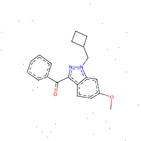 COc1ccc2c(C(=O)c3ccccc3)nn(CC3CCC3)c2c1